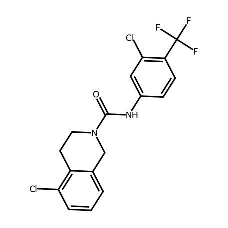 O=C(Nc1ccc(C(F)(F)F)c(Cl)c1)N1CCc2c(Cl)cccc2C1